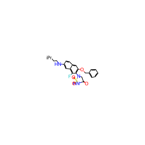 CC(C)CCNc1ccc2cc(OCc3ccccc3)c(N3CC(=O)NS3(=O)=O)c(F)c2c1